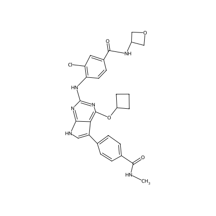 CNC(=O)c1ccc(-c2c[nH]c3nc(Nc4ccc(C(=O)NC5COC5)cc4Cl)nc(OC4CCC4)c23)cc1